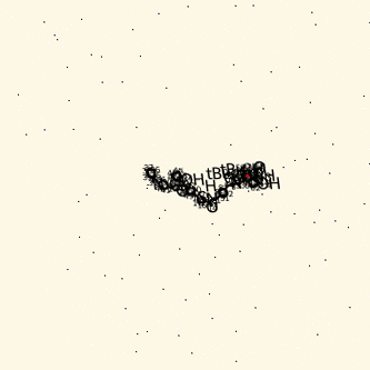 CC(C)(C)OC(=O)N(CCc1ccc(CNC(=O)c2ccc(-c3ccc([C@](O)(C(=O)OCC4CCN(Cc5ccccc5)CC4)c4ccccc4)cc3)s2)cc1)C[C@H](O[Si](C)(C)C(C)(C)C)c1ccc(O)c2[nH]c(=O)ccc12